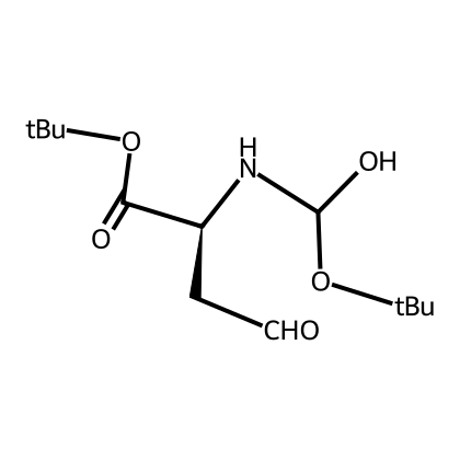 CC(C)(C)OC(=O)[C@H](CC=O)NC(O)OC(C)(C)C